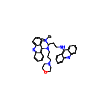 CCN(CC)C(CCNc1c2ccccc2nc2ccccc12)N(CCCN1CCOCC1)c1c2ccccc2nc2ccccc12